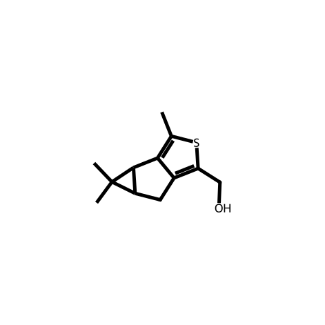 Cc1sc(CO)c2c1C1C(C2)C1(C)C